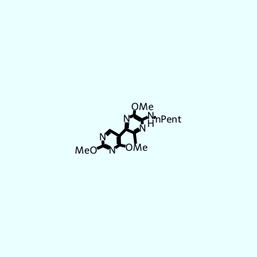 CCCCCNc1nc(C)c(-c2cnc(OC)nc2OC)nc1OC